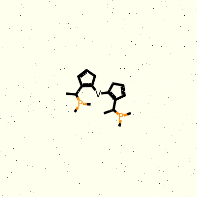 CC(C1=[C]([V][C]2=C(C(C)P(C)C)C=CC2)CC=C1)P(C)C